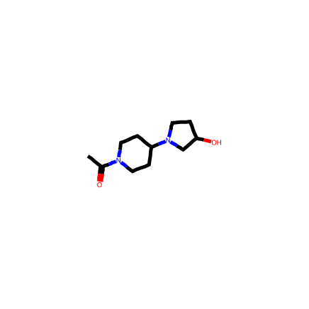 CC(=O)N1CCC(N2CCC(O)C2)CC1